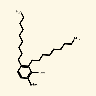 CCCCCCCCc1c(CCCCCC)ccc(CCCCCCCCN)c1CCCCCCCCN